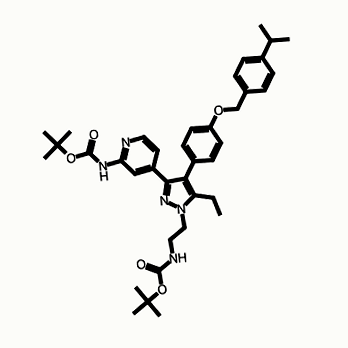 CCc1c(-c2ccc(OCc3ccc(C(C)C)cc3)cc2)c(-c2ccnc(NC(=O)OC(C)(C)C)c2)nn1CCNC(=O)OC(C)(C)C